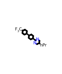 CCCc1cnc(-c2ccc(-c3ccc(C(F)(F)F)cc3)cc2)nc1